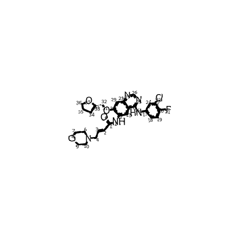 O=C(C=CCN1CCOCC1)Nc1cc2c(Nc3ccc(F)c(Cl)c3)ncnc2cc1OC[C@@H]1CCCO1